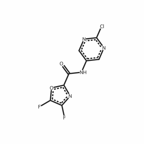 O=C(Nc1cnc(Cl)nc1)c1nc(F)c(F)o1